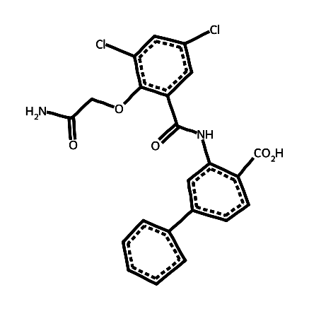 NC(=O)COc1c(Cl)cc(Cl)cc1C(=O)Nc1cc(-c2ccccc2)ccc1C(=O)O